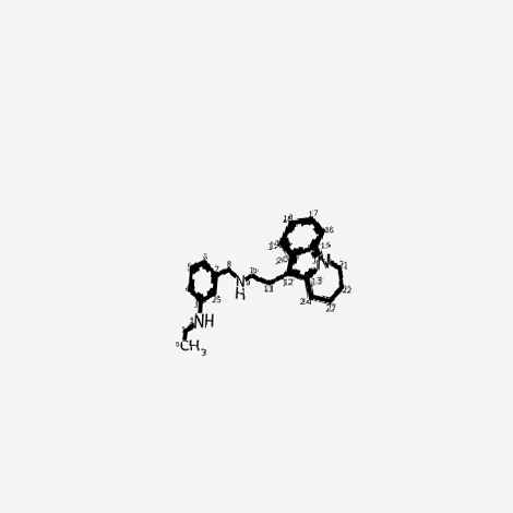 CCNc1cccc(CNCCc2c3n(c4ccccc24)CCCC3)c1